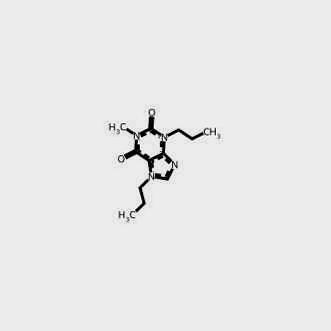 CCCn1cnc2c1c(=O)n(C)c(=O)n2CCC